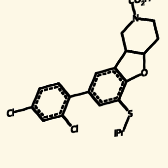 CC(C)Sc1cc(-c2ccc(Cl)cc2Cl)cc2c1OC1CCN(C(=O)O)CC21